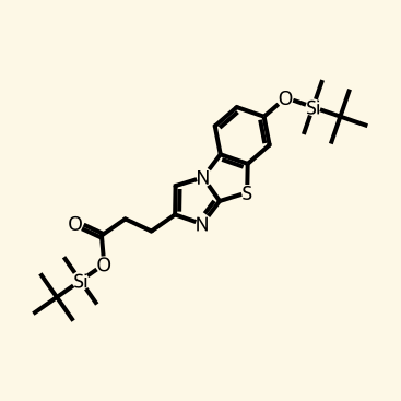 CC(C)(C)[Si](C)(C)OC(=O)CCc1cn2c(n1)sc1cc(O[Si](C)(C)C(C)(C)C)ccc12